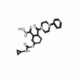 O=C(NC1CC1)OC1CCC(C(=O)N2CCN(c3ccccc3)CC2)C(C(=O)NO)C1